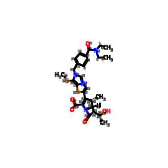 CCN(CC)C(=O)c1ccc(Cn2c[n+]3cc(C4=C(C(=O)[O-])N5C(=O)[C@H]([C@@H](C)O)[C@H]5[C@H]4C)sc3c2SC)cc1